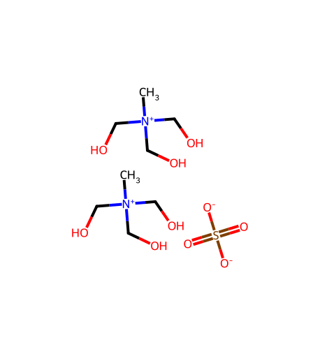 C[N+](CO)(CO)CO.C[N+](CO)(CO)CO.O=S(=O)([O-])[O-]